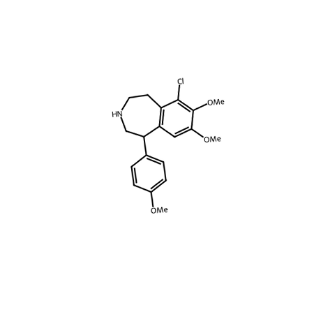 COc1ccc(C2CNCCc3c2cc(OC)c(OC)c3Cl)cc1